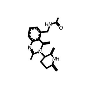 C=C1CCC(N2C(=C)c3c(CNC(C)=O)cccc3N=C2C)C(=C)N1